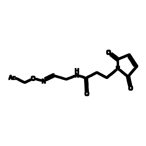 CC(=O)CON=CCNC(=O)CCN1C(=O)C=CC1=O